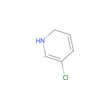 ClC1=[C]NCC=C1